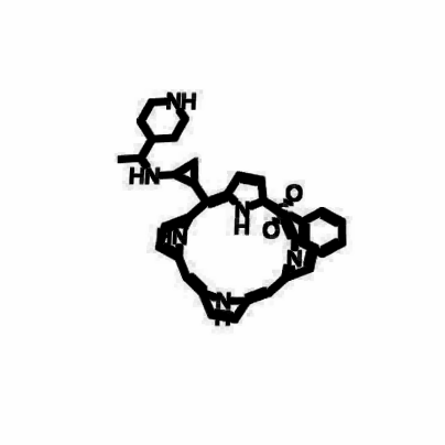 CC(NC1CC1/C1=C2\C=CC(S(=O)(=O)c3ccccc3)(/C=C3/C=CC(=N3)/C=c3/cc/c([nH]3)=C/c3ccc1[nH]3)N2)C1CCNCC1